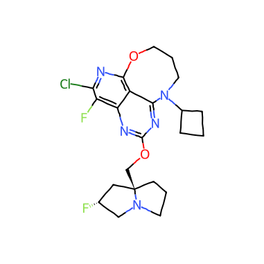 Fc1c(Cl)nc2c3c(nc(OC[C@@]45CCCN4C[C@H](F)C5)nc13)N(C1CCC1)CCCO2